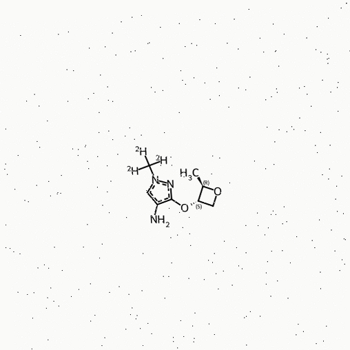 [2H]C([2H])([2H])n1cc(N)c(O[C@H]2CO[C@@H]2C)n1